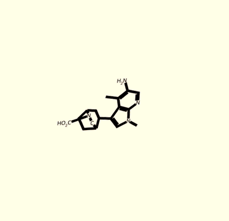 Cc1c(N)cnc2c1c(C1CC3CCC1CN3C(=O)O)cn2C